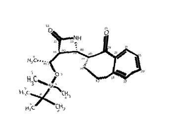 C[C@@H](O[Si](C)(C)C(C)(C)C)[C@H]1C(=O)N[C@@H]1[C@H]1CCc2ccccc2C1=O